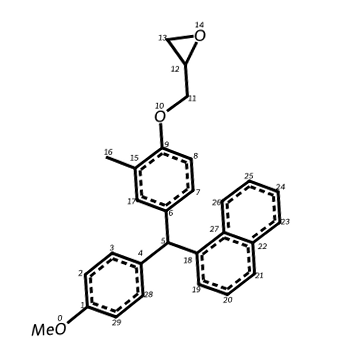 COc1ccc(C(c2ccc(OCC3CO3)c(C)c2)c2cccc3ccccc23)cc1